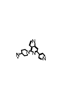 CN(C)C1CCN(c2nc(-c3ccncc3)cc3cnccc23)CC1